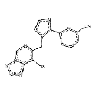 CCc1c(Cc2ccnn2-c2cccc(C#N)n2)ncn2ncnc12